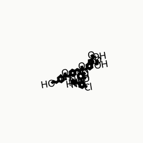 O=C(O)c1cc2cc(NC(=O)C(Cc3ccc(NC(=O)N4CCC(CCO)CC4)cc3)N3CCN(c4cc(Cl)ccc4-n4cnnn4)C(=O)C3=O)ccc2n1C(=O)O